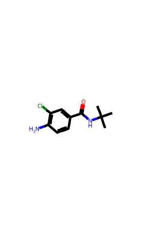 CC(C)(C)NC(=O)c1ccc(N)c(Cl)c1